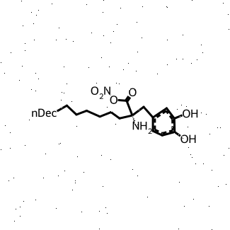 CCCCCCCCCCCCCCCC[C@](N)(Cc1ccc(O)c(O)c1)C(=O)O[N+](=O)[O-]